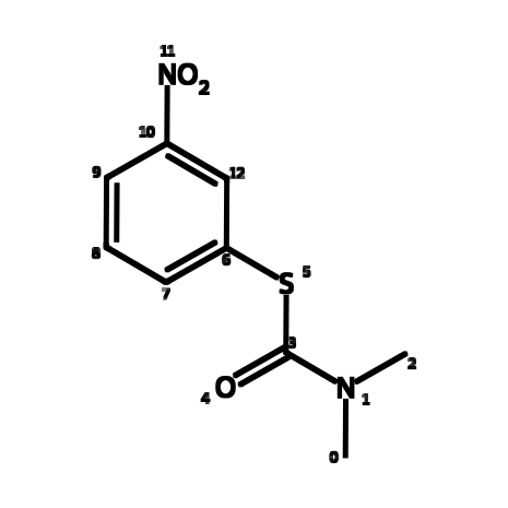 CN(C)C(=O)Sc1cccc([N+](=O)[O-])c1